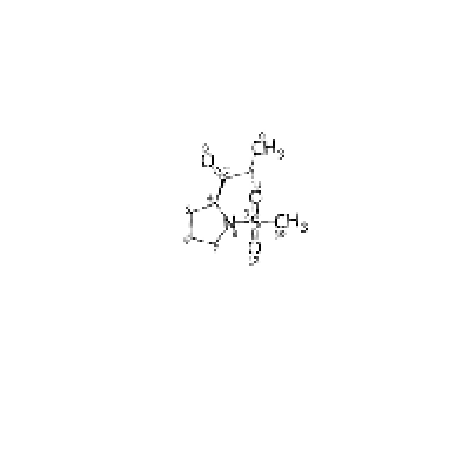 CCC(=O)[C@@H]1CCCN1S(C)(=O)=O